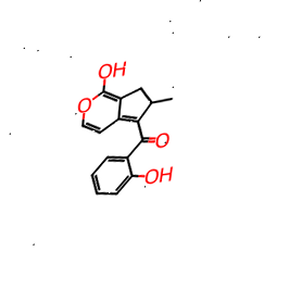 CC1CC2=C(O)OC=CC2=C1C(=O)c1ccccc1O